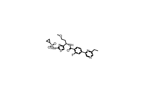 CCc1cncc(-c2ccc(C(=O)NC(CCOC)c3csc(NS(=O)(=O)C4CC4)n3)c(F)c2)n1